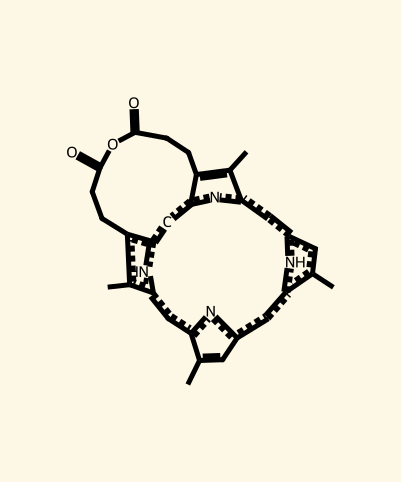 CC1=Cc2cc3[nH]c(cc4nc5cc6[nH]c(cc1n2)c(C)c6CCC(=O)OC(=O)CCC5=C4C)cc3C